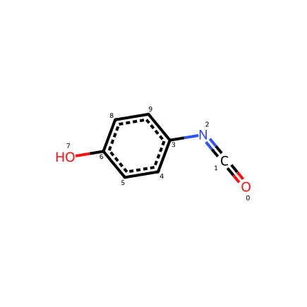 O=C=Nc1ccc(O)cc1